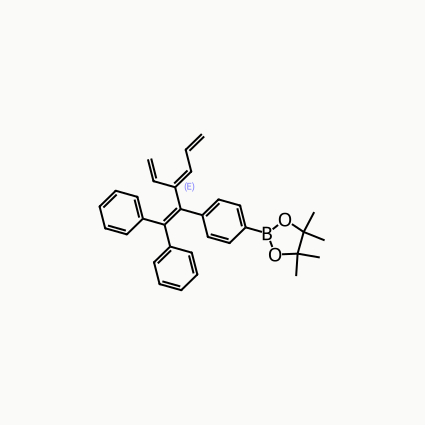 C=C/C=C(\C=C)C(=C(c1ccccc1)c1ccccc1)c1ccc(B2OC(C)(C)C(C)(C)O2)cc1